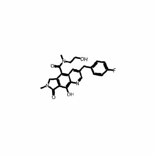 CN1Cc2c(c(O)c3ncc(Cc4ccc(F)cc4)cc3c2C(=O)N(C)CCO)C1=O